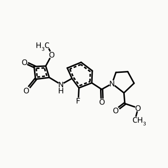 COC(=O)C1CCCN1C(=O)c1cccc(Nc2c(OC)c(=O)c2=O)c1F